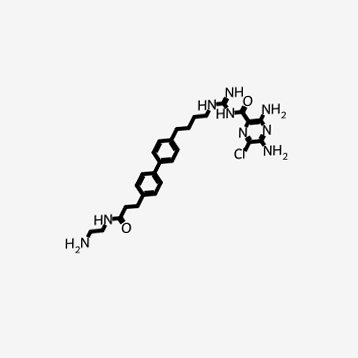 N=C(NCCCCc1ccc(-c2ccc(CCC(=O)NCCN)cc2)cc1)NC(=O)c1nc(Cl)c(N)nc1N